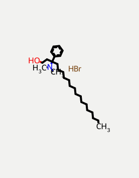 Br.CCCCCCCCCCCCCCCCC(CCO)(c1ccccc1)N(C)C